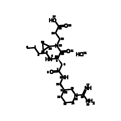 CCCCN[C@@H](CC(=O)NC[C@@H]1CCCN(C(=N)N)C1)C(=O)N(CCC(=O)O)C1CC1.Cl